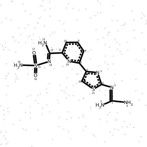 NC(N)=Nc1nc(-c2cccc(C(N)=NS(N)(=O)=O)n2)cs1